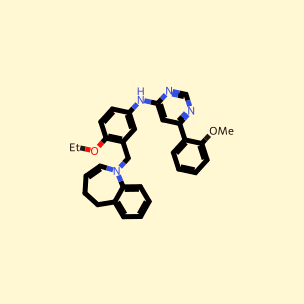 CCOc1ccc(Nc2cc(-c3ccccc3OC)ncn2)cc1CN1C=CCCc2ccccc21